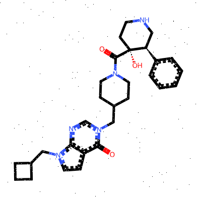 O=C(N1CCC(Cn2cnc3c(ccn3CC3CCC3)c2=O)CC1)[C@@]1(O)CCNC[C@H]1c1ccccc1